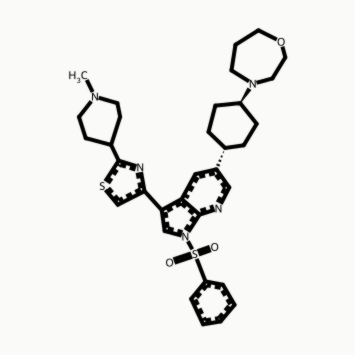 CN1CCC(c2nc(-c3cn(S(=O)(=O)c4ccccc4)c4ncc([C@H]5CC[C@H](N6CCCOCC6)CC5)cc34)cs2)CC1